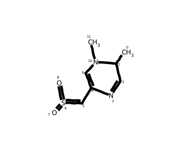 CC1C=NC(C=S(=O)=O)=CN1C